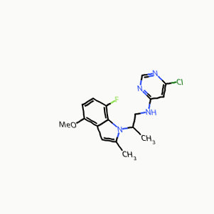 COc1ccc(F)c2c1cc(C)n2C(C)CNc1cc(Cl)ncn1